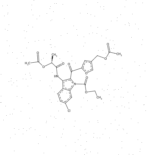 CCOC(=O)n1c(C(=O)c2cc(COC(C)=O)co2)c(NC(=O)[C@H](C)OC(C)=O)c2ccc(Cl)cc21